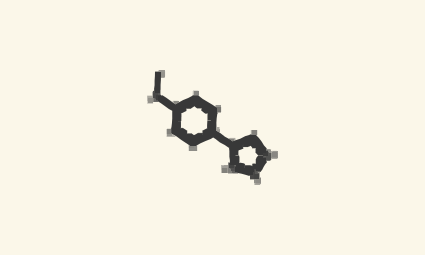 CSc1ccc(-c2csnn2)cc1